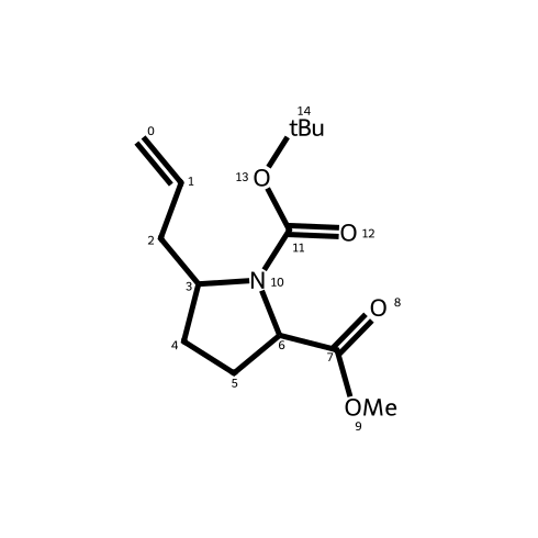 C=CCC1CCC(C(=O)OC)N1C(=O)OC(C)(C)C